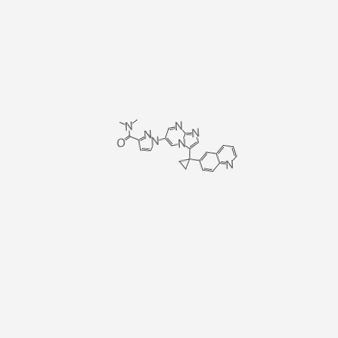 CN(C)C(=O)c1ccn(-c2cnc3ncc(C4(c5ccc6ncccc6c5)CC4)n3c2)n1